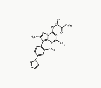 CC[C@H](Nc1cc(C)nc2c(-c3ccc(-n4cccn4)cc3OC)c(C)nn12)C(=O)OC